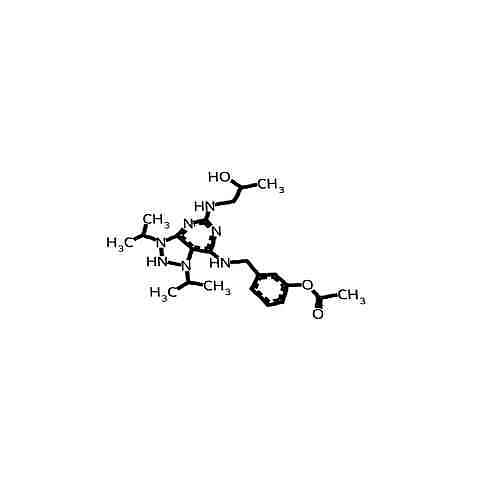 CC(=O)Oc1cccc(CNc2nc(NCC(C)O)nc3c2N(C(C)C)NN3C(C)C)c1